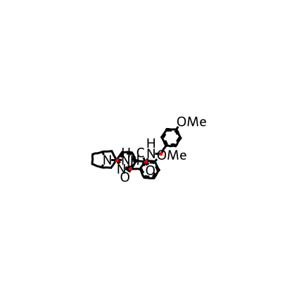 COc1ccc(CNC(=O)c2ccc(N3C4CCC3CC(NC(=O)c3cccc(OC)c3C)C4)nc2)cc1